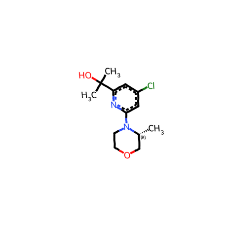 C[C@@H]1COCCN1c1cc(Cl)cc(C(C)(C)O)n1